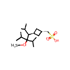 CC(C)C([C@H]1C[C@H](CS(=O)(=O)O)C1)C(O[SiH3])(C(C)C)C(C)C